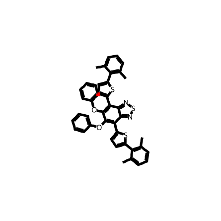 Cc1cccc(C)c1-c1ccc(-c2c(Oc3ccccc3)c(Oc3ccccc3)c(-c3ccc(-c4c(C)cccc4C)s3)c3nsnc23)s1